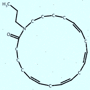 CCCN1CCCC/C=C\C/C=C\C/C=C\C/C=C\CCCC1=O